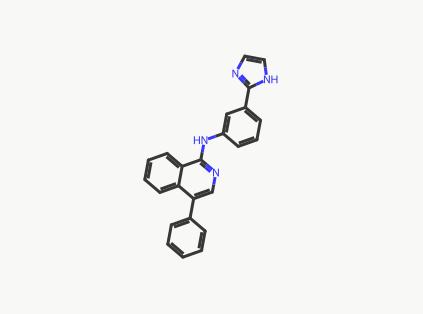 c1ccc(-c2cnc(Nc3cccc(-c4ncc[nH]4)c3)c3ccccc23)cc1